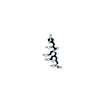 NCCN(CC(CCCB(O)O)CC(=O)O)C(=O)[C@@H](N)Cc1c[nH]cn1